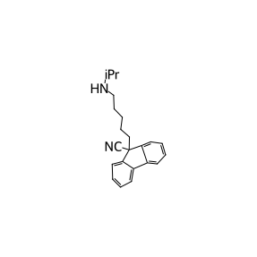 CC(C)NCCCCCC1(C#N)c2ccccc2-c2ccccc21